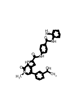 CC(O)c1cccc(-c2cn(C)c(=O)c3[nH]c(C(=O)Nc4ccc(C(=O)Nc5ccccc5N)cc4)cc23)c1